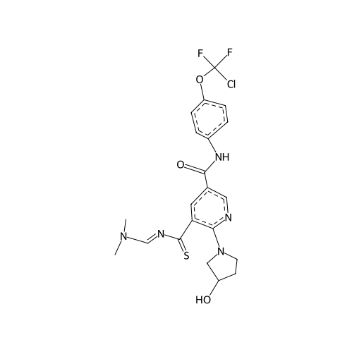 CN(C)C=NC(=S)c1cc(C(=O)Nc2ccc(OC(F)(F)Cl)cc2)cnc1N1CCC(O)C1